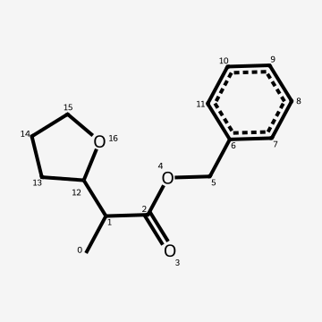 CC(C(=O)OCc1ccccc1)C1CCCO1